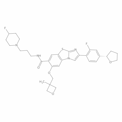 CC1(COc2cc3c(cc2C(=O)NCCCN2CCC(F)CC2)sc2nc(-c4ccc([C@@H]5CCCO5)cc4F)cn23)COC1